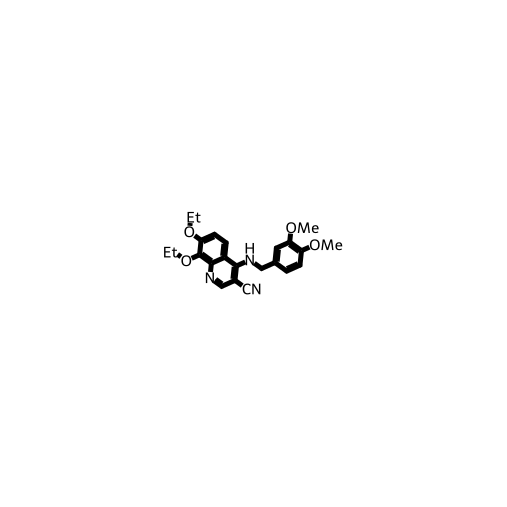 CCOc1ccc2c(NCc3ccc(OC)c(OC)c3)c(C#N)cnc2c1OCC